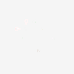 O=S(=O)(Cl)C1(Cl)CC(Br)=C(Cl)S1